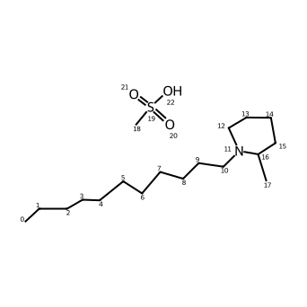 CCCCCCCCCCCN1CCCCC1C.CS(=O)(=O)O